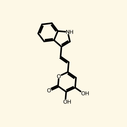 O=c1oc(C=Cc2c[nH]c3ccccc23)cc(O)c1O